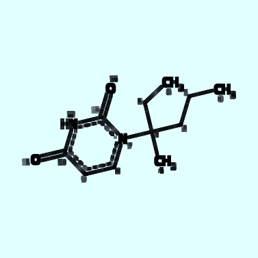 CCCC(C)(CC)n1ccc(=O)[nH]c1=O